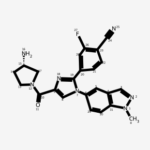 Cn1ncc2cc(-n3cc(C(=O)N4CC[C@H](N)C4)nc3-c3ccc(C#N)c(F)c3)ccc21